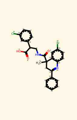 CC1(C(=O)NCC(C(=O)O)c2cccc(Cl)c2)CC(c2ccccc2)=Nc2ccc(Br)cc21